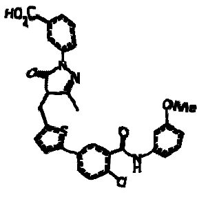 COc1cccc(NC(=O)c2cc(-c3ccc(CC4C(=O)N(c5cccc(C(=O)O)c5)N=C4C)s3)ccc2Cl)c1